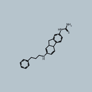 NC(=S)Nc1ccc2c(c1)CC1C=C(NCCCc3ccccc3)C=CC21